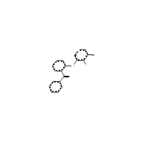 Cc1cncc(Nc2ccccc2C(=O)c2ccccc2)c1N